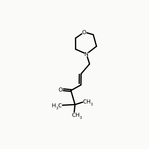 CC(C)(C)C(=O)/C=C/CN1CCOCC1